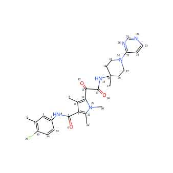 Cc1cc(NC(=O)c2c(C)c(C(=O)C(=O)NC3(C)CCN(c4ccncn4)CC3)n(C)c2C)ccc1F